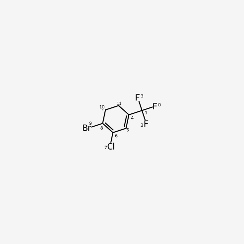 FC(F)(F)C1=CC(Cl)=C(Br)[CH]C1